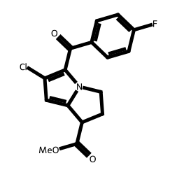 COC(=O)C1CCn2c1cc(Cl)c2C(=O)c1ccc(F)cc1